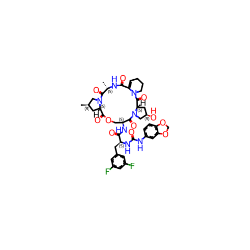 C[C@@H]1C[C@H]2C(=O)OC[C@H](NC(=O)[C@H](Cc3cc(F)cc(F)c3)NC(=O)Nc3ccc4c(c3)OCO4)C(=O)N3C[C@H](O)C[C@H]3C(=O)N3CCCC=C3C(=O)N[C@@H](C)C(=O)N2C1